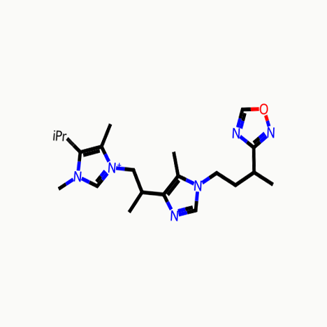 Cc1c(C(C)C[n+]2cn(C)c(C(C)C)c2C)ncn1CCC(C)c1ncon1